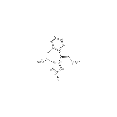 CCOC(=O)C=C1c2ccccc2C=C(OC)c2sc(Cl)cc21